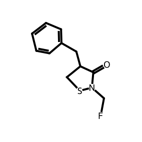 O=C1C(Cc2ccccc2)CSN1CF